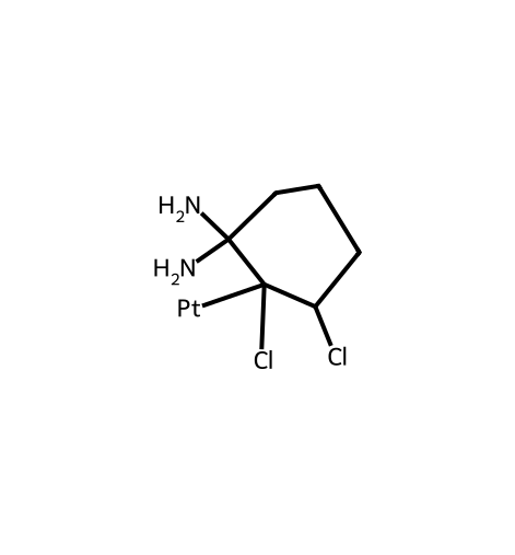 NC1(N)CCCC(Cl)[C]1(Cl)[Pt]